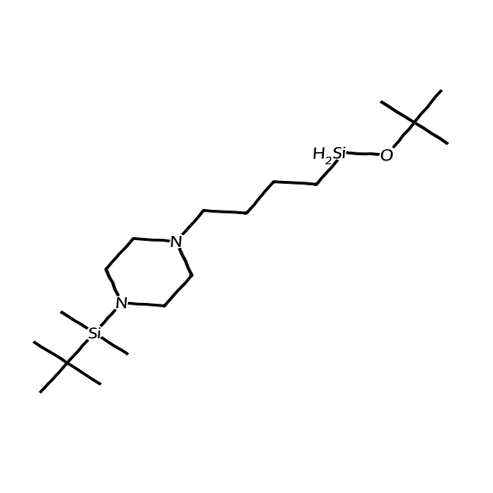 CC(C)(C)O[SiH2]CCCCN1CCN([Si](C)(C)C(C)(C)C)CC1